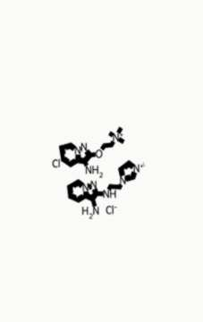 C[N+](C)(C)CCOc1nn2ccccc2c1N.C[n+]1ccn(CCNc2nn3ccccc3c2N)c1.[Cl-].[Cl-]